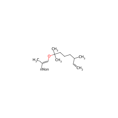 C=CC(C)CCCC(C)(C)O/C=C(\C)CCCCCCCCC